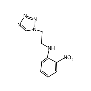 O=[N+]([O-])c1ccccc1NCCn1cnnn1